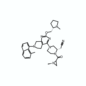 Cc1cccc2cccc(N3CCc4c(nc(OC[C@@H]5CCCN5C)nc4N4CCN(C(=O)C5C[N@@]5C)[C@@H](CC#N)C4)C3)c12